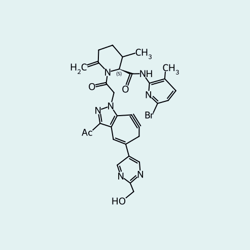 C=C1CCC(C)[C@@H](C(=O)Nc2nc(Br)ccc2C)N1C(=O)Cn1nc(C(C)=O)c2c1C#CCC(c1cnc(CO)nc1)=C2